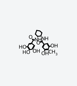 Cc1c(O)cc(C(=O)N[C@H]2CCCC[C@H]2NC(=O)c2cc(O)c(O)c(O)c2)cc1O